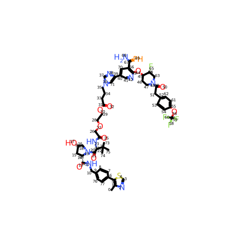 Cc1ncsc1-c1ccc(CNC(=O)[C@@H]2C[C@@H](O)CN2C(=O)[C@@H](NC(=O)COCCOC(=O)CCCn2cnc(-c3cnc(OC4CCN(C(=O)Cc5ccc(OC(F)(F)F)cc5)C[C@H]4F)c(C(N)=P)c3)c2)C(C)(C)C)cc1